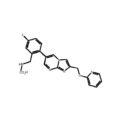 O=C(O)NCc1cc(F)ccc1-c1cnc2nc(COc3ccccn3)cn2c1